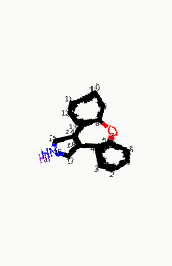 I.c1ccc2c(c1)Oc1ccccc1C1CNCC21